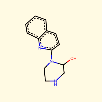 OC1CNCCN1c1ccc2ccccc2n1